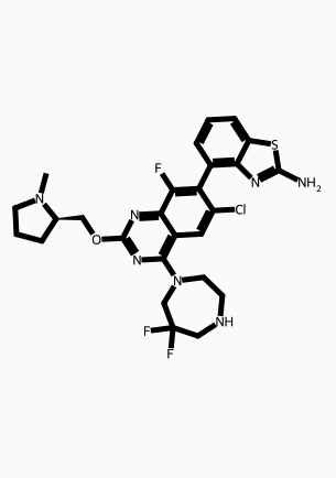 CN1CCC[C@@H]1COc1nc(N2CCNCC(F)(F)C2)c2cc(Cl)c(-c3cccc4sc(N)nc34)c(F)c2n1